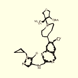 CC1(N2CCC(c3cc4nc(Nc5cnn(C6CC6)c5Cl)ncc4cc3Cl)CC2)COCC1O